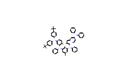 Cc1cc2c3c(c1)N(c1ccccc1)c1c(cc4cc(N(c5ccccc5)c5ccccc5)ccn14)B3c1ccc(N(c3ccc(C(C)(C)C)cc3)c3ccc(C(C)(C)C)cc3)cc1N2c1ccccc1